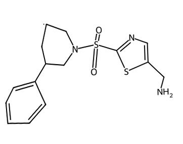 NCc1cnc(S(=O)(=O)N2C[CH]CC(c3ccccc3)C2)s1